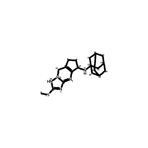 CSC1=NC2=NC3=C(CCC3NC34CC5CC(CC(C5)C3)C4)CN2N1